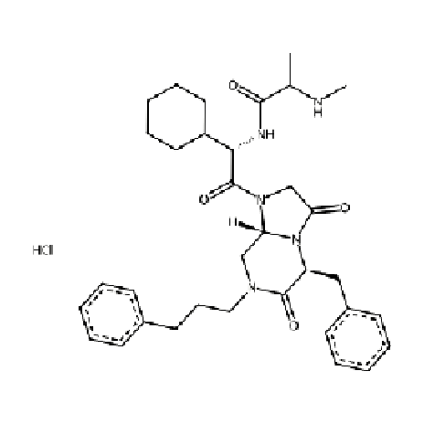 CNC(C)C(=O)N[C@H](C(=O)N1CC(=O)N2[C@@H]1CN(CCCc1ccccc1)C(=O)[C@@H]2Cc1ccccc1)C1CCCCC1.Cl